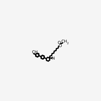 C=CC(=O)OCCCCCCCCCC1(C#N)CCCC(c2ccc(-c3ccc(CC)cc3)cc2)C1